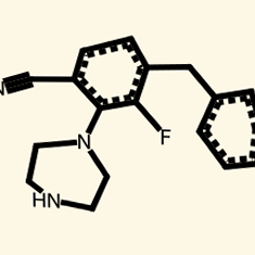 N#Cc1ccc(Cc2ccccc2)c(F)c1N1CCNCC1